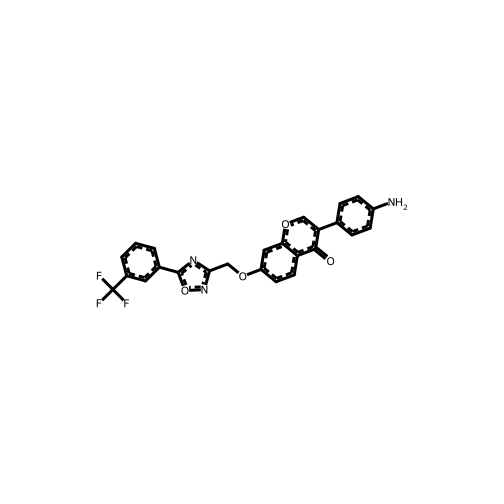 Nc1ccc(-c2coc3cc(OCc4noc(-c5cccc(C(F)(F)F)c5)n4)ccc3c2=O)cc1